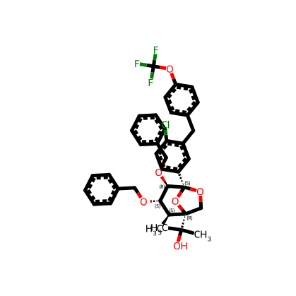 C[C@H]1[C@H](OCc2ccccc2)[C@@H](OCc2ccccc2)[C@@]2(c3ccc(Cl)c(Cc4ccc(OC(F)(F)F)cc4)c3)OC[C@]1(C(C)(C)O)O2